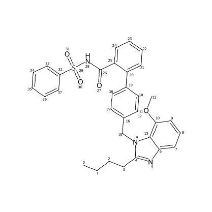 CCCCc1nc2cccc(OC)c2n1Cc1ccc(-c2ccccc2C(=O)NS(=O)(=O)c2ccccc2)cc1